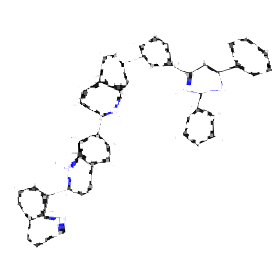 C1=C(c2ccccc2)NC(c2ccccc2)N=C1c1cccc(-c2ccc3ccc(-c4ccc5ccc(-c6cccc7cccnc67)nc5c4)nc3c2)c1